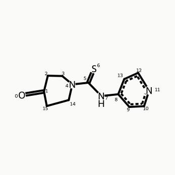 O=C1CCN(C(=S)Nc2ccncc2)CC1